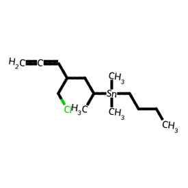 C=C=CC(CCl)C[CH](C)[Sn]([CH3])([CH3])[CH2]CCC